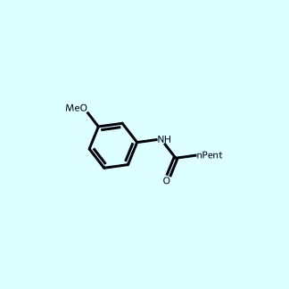 CCCCCC(=O)Nc1cccc(OC)c1